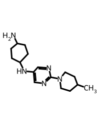 CC1CCN(c2ncc(NC3CCC(N)CC3)cn2)CC1